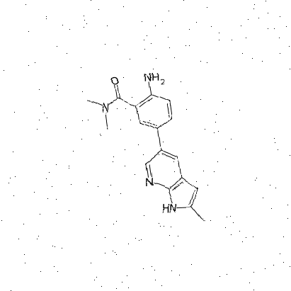 Cc1cc2cc(-c3ccc(N)c(C(=O)N(C)C)c3)cnc2[nH]1